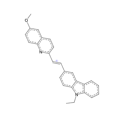 CCn1c2ccccc2c2cc(/C=C/c3ccc4cc(OC)ccc4n3)ccc21